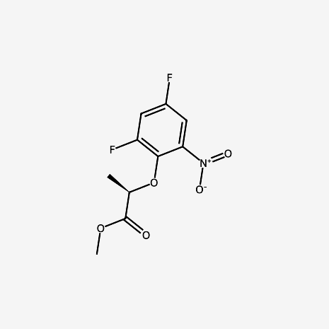 COC(=O)[C@@H](C)Oc1c(F)cc(F)cc1[N+](=O)[O-]